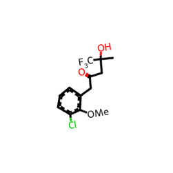 COc1c(Cl)cccc1CC(=O)CC(C)(O)C(F)(F)F